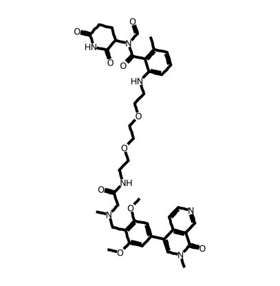 COc1cc(-c2cn(C)c(=O)c3cnccc23)cc(OC)c1CN(C)CC(=O)NCCOCCOCCNc1cccc(C)c1C(=O)N(C=O)C1CCC(=O)NC1=O